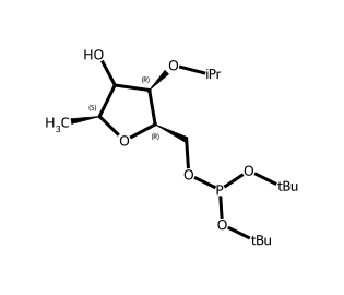 CC(C)O[C@@H]1C(O)[C@H](C)O[C@@H]1COP(OC(C)(C)C)OC(C)(C)C